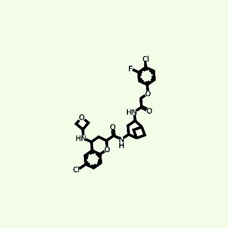 O=C(COc1ccc(Cl)c(F)c1)NC1CC(NC(=O)C2CC(NC3COC3)c3cc(Cl)ccc3O2)C2CC1C2